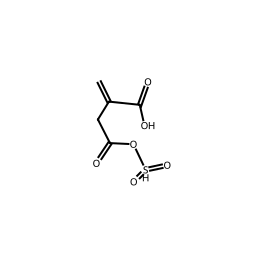 C=C(CC(=O)O[SH](=O)=O)C(=O)O